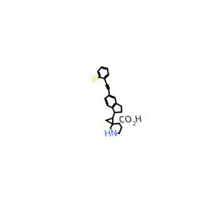 O=C(O)C1CCNCC12CC2C1CCc2cc(C#Cc3ccccc3F)ccc21